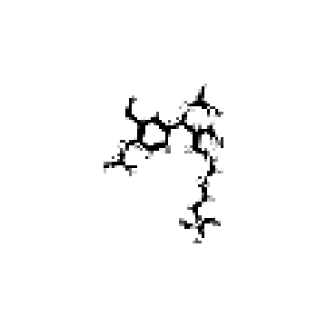 CCc1cc(C(OC(C)=O)c2cnn(COCC[Si](C)(C)C)c2)ccc1OC(F)F